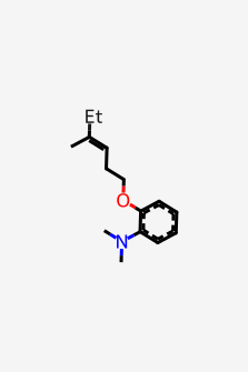 CC/C(C)=C/CCOc1ccccc1N(C)C